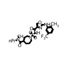 CCCN(C)C(=O)C1CCCN(S(=O)(=O)NC(=O)c2coc(Nc3cc(C(F)(F)F)ccc3C)n2)CC1